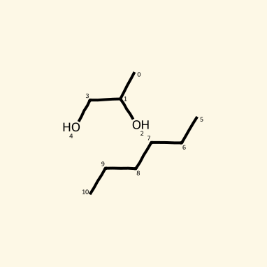 CC(O)CO.CCCCCC